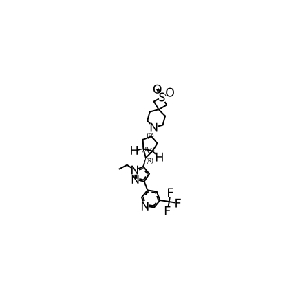 CCn1nc(-c2cncc(C(F)(F)F)c2)cc1[C@H]1[C@@H]2C[C@H](N3CCC4(CC3)CS(=O)(=O)C4)C[C@@H]21